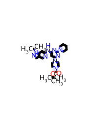 CC(C)n1ncc2cnc(Nc3cc(N4CCN(C(=O)OC(C)(C)C)CC4)nc(N4CCCCC4)n3)cc21